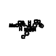 COC(C)NC(=O)CCC(Nc1ncnc2cc(C(=O)N3CCCC3)c(Cl)cc12)c1nc2cc(Cl)ccc2[nH]1